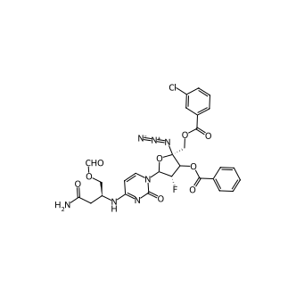 [N-]=[N+]=N[C@]1(COC(=O)c2cccc(Cl)c2)OC(n2ccc(N[C@H](COC=O)CC(N)=O)nc2=O)[C@@H](F)C1OC(=O)c1ccccc1